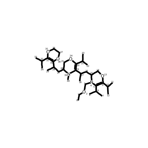 CCOCN1C(C(C)C)=C(C(C)C)OCC1CC(C)C1=C(C(C)C)OCC(CC(C)C2=C(C(C)C)OCCO2)N1C